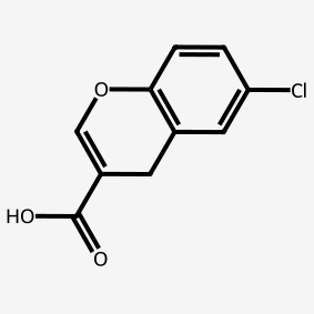 O=C(O)C1=COc2ccc(Cl)cc2C1